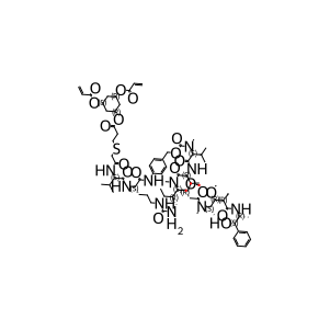 C=CC(=O)O[C@@H]1C[C@H](OC(=O)C=C)C[C@H](OC(=O)CCSCC(=O)N[C@H](C(=O)N[C@@H](CCCNC(N)=O)C(=O)Nc2ccc(COC(=O)N(C)[C@H](C(=O)N[C@H](C(=O)N(C)[C@@H]([C@H](C)CC)[C@@H](CC(=O)N(C)[C@@H](C)[C@H](OC)[C@@H](C)C(=O)N[C@H](C)[C@@H](O)c3ccccc3)OC)C(C)C)C(C)C)cc2)C(C)C)C1